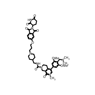 COc1cc(-c2cn(C)c(=O)c3c2CCN(C(=O)NCC2CCN(CCCOc4ccc5c(c4)C(=O)N(C4CCC(=O)NC4=O)C5=O)CC2)C3)cc(OC)c1CN(C)C